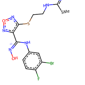 C/N=C(/NCCSc1nonc1/C(=N/O)Nc1ccc(F)c(Br)c1)SC